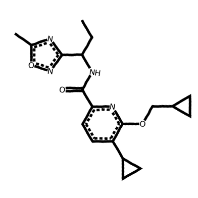 CCC(NC(=O)c1ccc(C2CC2)c(OCC2CC2)n1)c1noc(C)n1